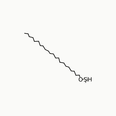 CCCCCCCCCCCCCCCCCCCCCCO[SiH](C)C